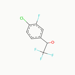 [O]C(c1ccc(Cl)c(F)c1)C(F)(F)F